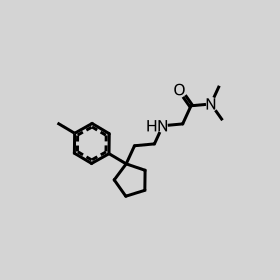 Cc1ccc(C2(CCNCC(=O)N(C)C)CCCC2)cc1